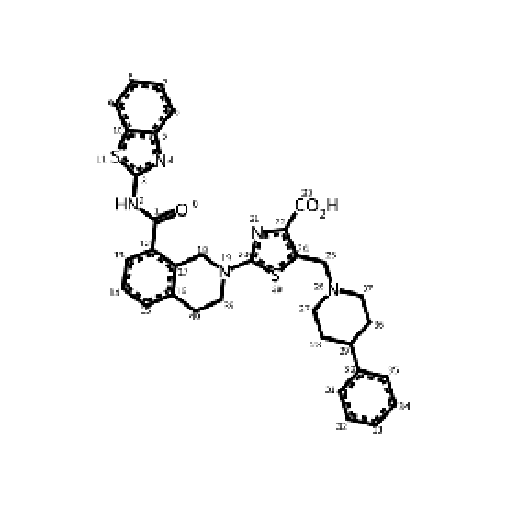 O=C(Nc1nc2ccccc2s1)c1cccc2c1CN(c1nc(C(=O)O)c(CN3CCC(c4ccccc4)CC3)s1)CC2